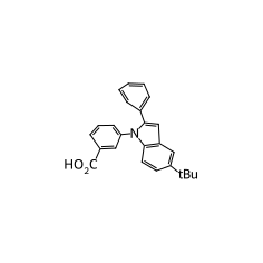 CC(C)(C)c1ccc2c(c1)cc(-c1ccccc1)n2-c1cccc(C(=O)O)c1